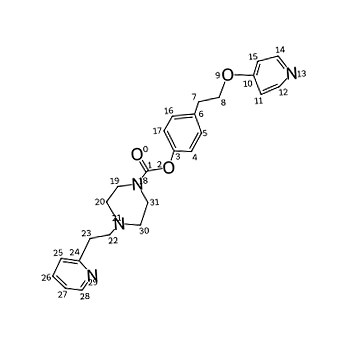 O=C(Oc1ccc(CCOc2ccncc2)cc1)N1CCN(CCc2ccccn2)CC1